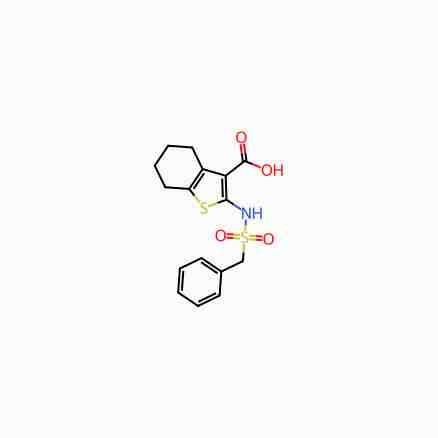 O=C(O)c1c(NS(=O)(=O)Cc2ccccc2)sc2c1CCCC2